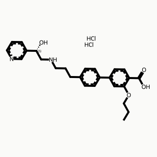 CCCOc1cc(-c2ccc(CCCNC[C@@H](O)c3cccnc3)cc2)ccc1C(=O)O.Cl.Cl